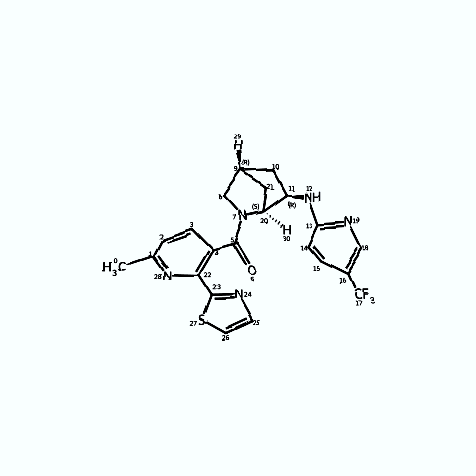 Cc1ccc(C(=O)N2C[C@@H]3C[C@@H](Nc4ccc(C(F)(F)F)cn4)[C@@H]2C3)c(-c2nccs2)n1